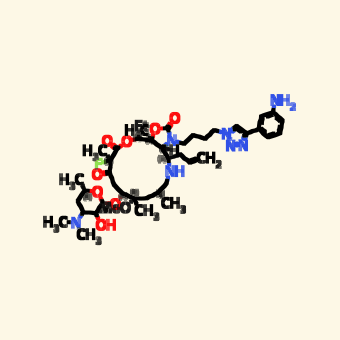 C=CC[C@H]1NC[C@H](C)C[C@@](C)(OC)[C@H](O[C@@H]2O[C@H](C)CC(N(C)C)C2O)CC(=O)[C@](C)(F)C(=O)O[C@H](CC)[C@@]2(C)OC(=O)N(CCCCn3cc(-c4cccc(N)c4)nn3)[C@H]12